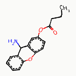 CCCC(=O)Oc1ccc2c(c1)C(N)c1ccccc1O2